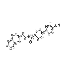 N#Cc1ccc(N2CCC(C(=O)NCCN3CCc4ccccc4C3)CC2)nc1